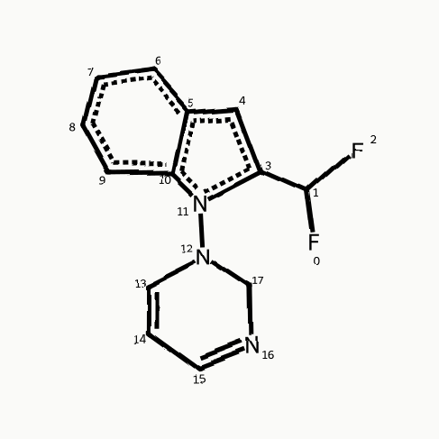 FC(F)c1cc2ccccc2n1N1C=CC=NC1